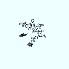 CCN(c1ccc(S(=O)(=O)CCOS(=O)(=O)O)cc1)c1nc(Cl)nc(Nc2cc(S(=O)(=O)O)cc(N=N[C-](N=Nc3cc(S(=O)(=O)O)ccc3C(=O)O)c3ccccc3)c2O)n1.[Cu].[H+].[Na+].[Na+].[Na+]